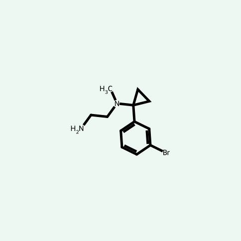 CN(CCN)C1(c2cccc(Br)c2)CC1